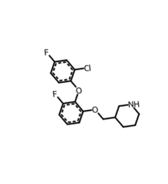 Fc1ccc(Oc2c(F)cccc2OCC2CCCNC2)c(Cl)c1